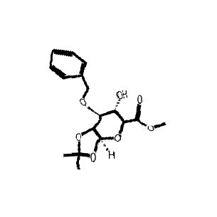 COC(=O)C1O[C@H]2OC(C)(C)OC2[C@@H](OCc2ccccc2)[C@@H]1O